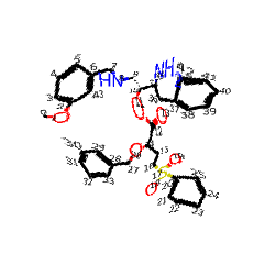 COc1cccc(CNC[C@@H](OC(=O)C(CCS(=O)(=O)c2ccccc2)OCc2ccccc2)[C@@H](N)Cc2ccccc2)c1